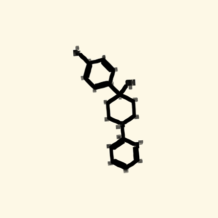 OC1(c2ccc(Br)cc2)CCN(c2cc[c]cn2)CC1